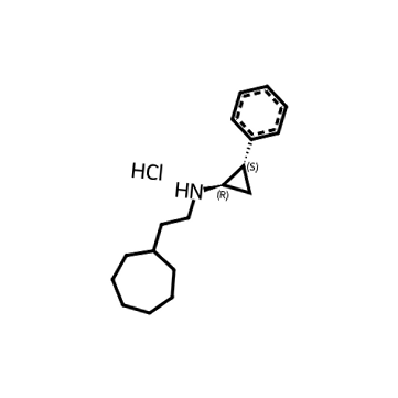 Cl.c1ccc([C@@H]2C[C@H]2NCCC2CCCCCC2)cc1